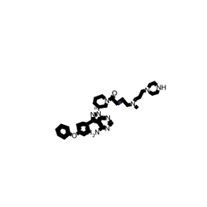 CN(C/C=C/C(=O)N1CCC[C@@H](n2nc(-c3ccc(Oc4ccccc4)cc3)c3c(N)ncnc32)C1)CCCN1CCNCC1